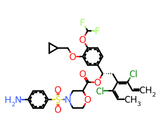 C=C/C(Cl)=C(C[C@H](OC(=O)C1CN(S(=O)(=O)c2ccc(N)cc2)CCO1)c1ccc(OC(F)F)c(OCC2CC2)c1)\C(Cl)=C/C